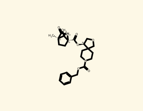 CC1(C)[C@@]2(C)CC[C@]1(C(=O)O[C@H]1COCC13CCN(C(=O)OCc1ccccc1)CC3)OC2=O